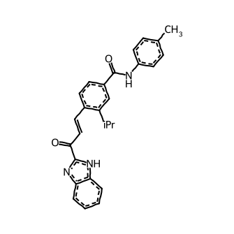 Cc1ccc(NC(=O)c2ccc(C=CC(=O)c3nc4ccccc4[nH]3)c(C(C)C)c2)cc1